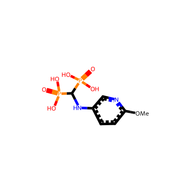 COc1ccc(NC(P(=O)(O)O)P(=O)(O)O)cn1